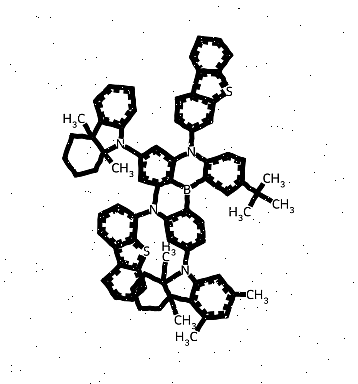 Cc1cc(C)c2c(c1)N(c1ccc3c(c1)N(c1cccc4c1sc1ccccc14)c1cc(N4c5ccccc5C5(C)CCCCC45C)cc4c1B3c1cc(C(C)(C)C)ccc1N4c1ccc3c(c1)sc1ccccc13)C1(C)CCCCC21C